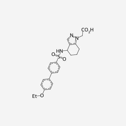 CCOc1ccc(-c2ccc(S(=O)(=O)NC3CCCc4c3cnn4CC(=O)O)cc2)cc1